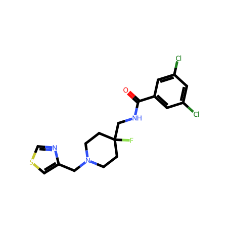 O=C(NCC1(F)CCN(Cc2cscn2)CC1)c1cc(Cl)cc(Cl)c1